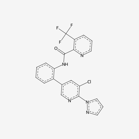 O=C(Nc1ccccc1-c1cnc(-n2cccn2)c(Cl)c1)c1ncccc1C(F)(F)F